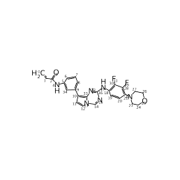 C=CC(=O)Nc1cccc(-c2ccn3cnc(Nc4ccc(N5CCOCC5)c(F)c4F)nc23)c1